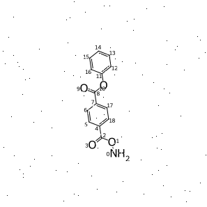 NOC(=O)c1ccc(C(=O)Oc2ccccc2)cc1